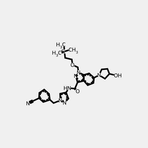 C[Si](C)(C)CCOCn1nc(C(=O)Nc2cnn(Cc3cccc(C#N)c3)c2)c2ccc(N3CCC(O)C3)cc21